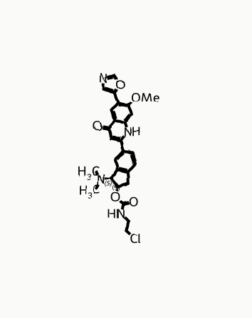 COc1cc2[nH]c(-c3ccc4c(c3)[C@H](N(C)C)[C@@H](OC(=O)NCCCl)C4)cc(=O)c2cc1-c1cnco1